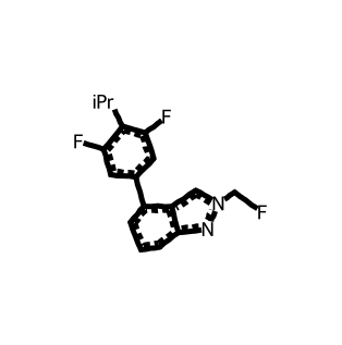 CC(C)c1c(F)cc(-c2cccc3nn(CF)cc23)cc1F